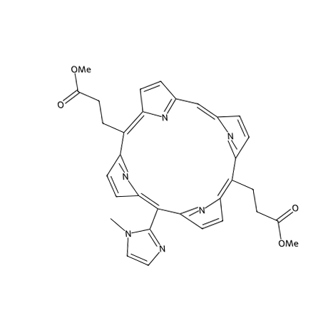 COC(=O)CCC1=C2C=CC(=N2)C=C2C=CC(=N2)C(CCC(=O)OC)=C2C=CC(=N2)C(c2nccn2C)=C2C=CC1=N2